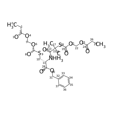 CCC(=O)OCOC(=O)SC[C@H](NC(=O)C(C)(C)SC(=O)OCOC(=O)CC)C(=O)OCc1ccccc1